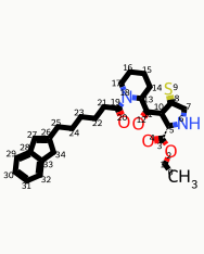 CCOC(=O)[C@H]1NCC(=S)C1C(=O)C1CCCCN1C(=O)CCCCCC1=Cc2ccccc2C1